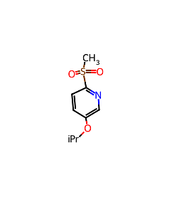 CC(C)Oc1ccc(S(C)(=O)=O)nc1